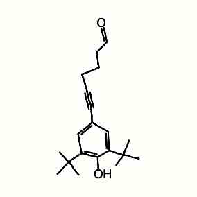 CC(C)(C)c1cc(C#CCCCC=O)cc(C(C)(C)C)c1O